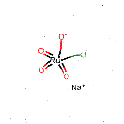 [Na+].[O]=[Ru](=[O])(=[O])([O-])[Cl]